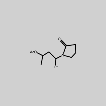 CCC(CC(C)OC(C)=O)N1CCCC1=O